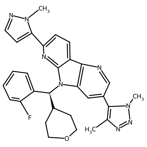 Cc1nnn(C)c1-c1cnc2c3ccc(-c4ccnn4C)nc3n([C@H](c3ccccc3F)C3CCOCC3)c2c1